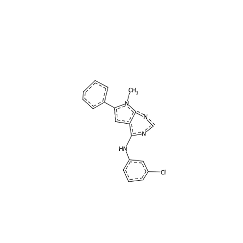 Cn1c(-c2ccccc2)cc2c(Nc3cccc(Cl)c3)ncnc21